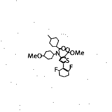 COC(=O)c1sc(C2=C(F)CCCC2F)cc1N(C(=O)C1CCC(C)CC1)C1CCC(OC)CC1